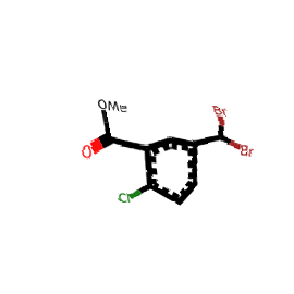 COC(=O)c1cc(C(Br)Br)ccc1Cl